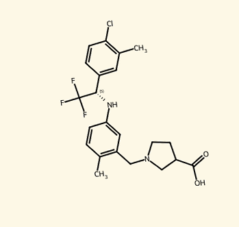 Cc1cc([C@H](Nc2ccc(C)c(CN3CCC(C(=O)O)C3)c2)C(F)(F)F)ccc1Cl